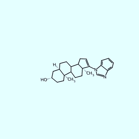 C[C@]12CCC3C(CC[C@@H]4C[C@@H](O)CC[C@]34C)C1CC=C2n1cnc2ccccc21